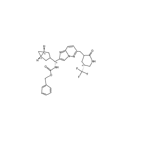 O=C(N[C@@H](c1cn2nc(CC3C[C@@H](C(F)(F)F)CNC3=O)ccc2n1)C1C[C@@H]2C[C@@H]2C1)OCc1ccccc1